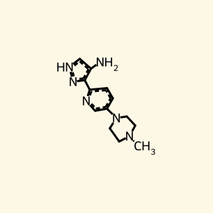 CN1CCN(c2ccc(-c3n[nH]cc3N)nc2)CC1